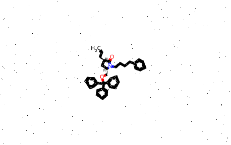 C=CC[C@@H]1C[C@@H](COC(c2ccccc2)(c2ccccc2)c2ccccc2)N(CCCCc2ccccc2)C1=O